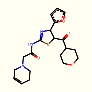 O=C(CN1CC=CCC1)NC1=NC(c2ccco2)C(C(=O)C2CCOCC2)S1